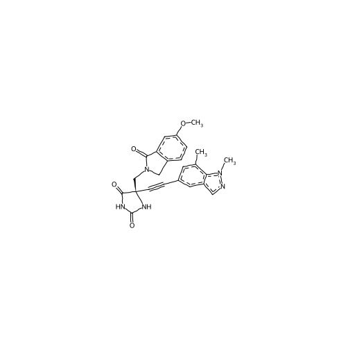 COc1ccc2c(c1)C(=O)N(C[C@@]1(C#Cc3cc(C)c4c(cnn4C)c3)NC(=O)NC1=O)C2